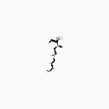 C/C=C(/O)N(C)CCOCCCC(C)C